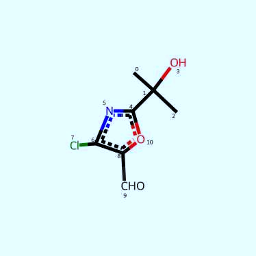 CC(C)(O)c1nc(Cl)c(C=O)o1